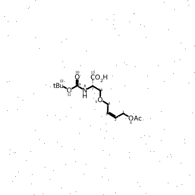 CC(=O)OC/C=C\COC[C@H](NC(=O)OC(C)(C)C)C(=O)O